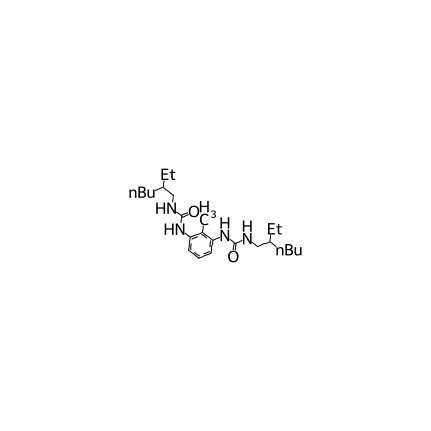 CCCCC(CC)CNC(=O)Nc1cccc(NC(=O)NCC(CC)CCCC)c1C